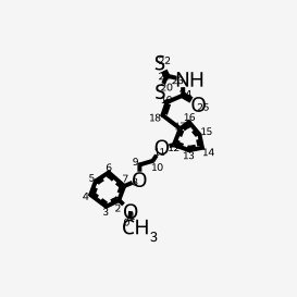 COc1ccccc1OCCOc1ccccc1C=C1SC(=S)NC1=O